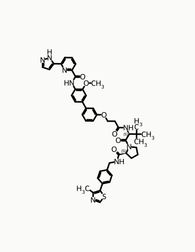 COc1cc(-c2cccc(OCCC(=O)N[C@H](C(=O)N3CCC[C@H]3C(=O)NCc3ccc(-c4scnc4C)cc3)C(C)(C)C)c2)ccc1NC(=O)c1cccc(-c2ccn[nH]2)n1